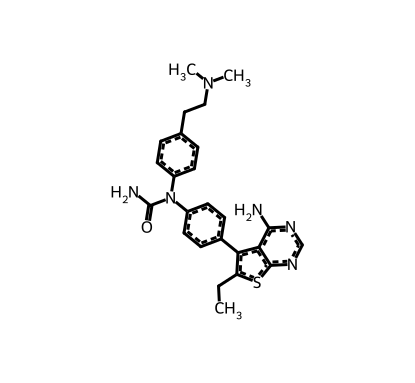 CCc1sc2ncnc(N)c2c1-c1ccc(N(C(N)=O)c2ccc(CCN(C)C)cc2)cc1